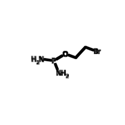 NP(N)OCCBr